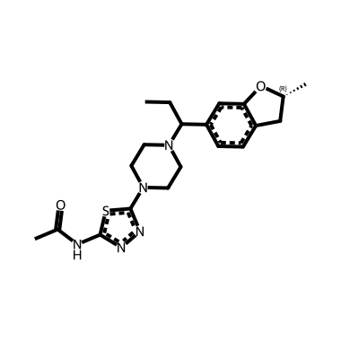 CCC(c1ccc2c(c1)O[C@H](C)C2)N1CCN(c2nnc(NC(C)=O)s2)CC1